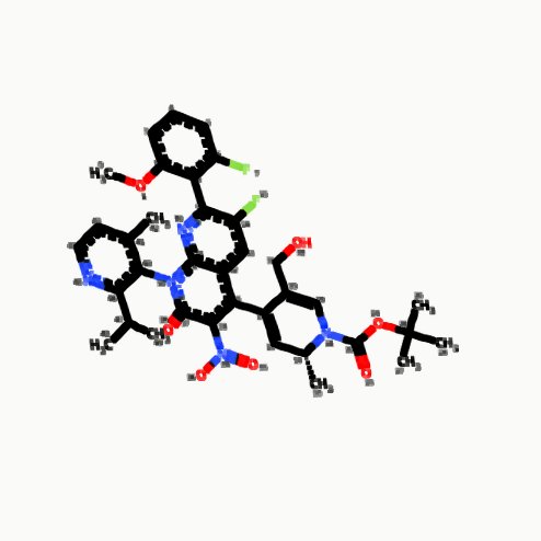 COc1cccc(F)c1-c1nc2c(cc1F)c(C1=C[C@@H](C)N(C(=O)OC(C)(C)C)C=C1CO)c([N+](=O)[O-])c(=O)n2-c1c(C)ccnc1C(C)C